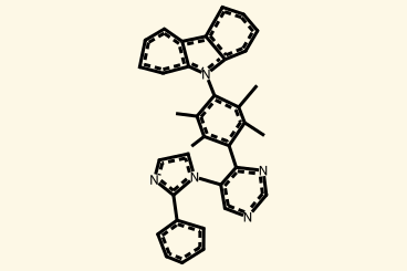 Cc1c(C)c(-n2c3ccccc3c3ccccc32)c(C)c(C)c1-c1ncncc1-n1ccnc1-c1ccccc1